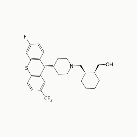 OC[C@H]1CCCC[C@H]1CN1CCC(=C2c3ccc(F)cc3Sc3ccc(C(F)(F)F)cc32)CC1